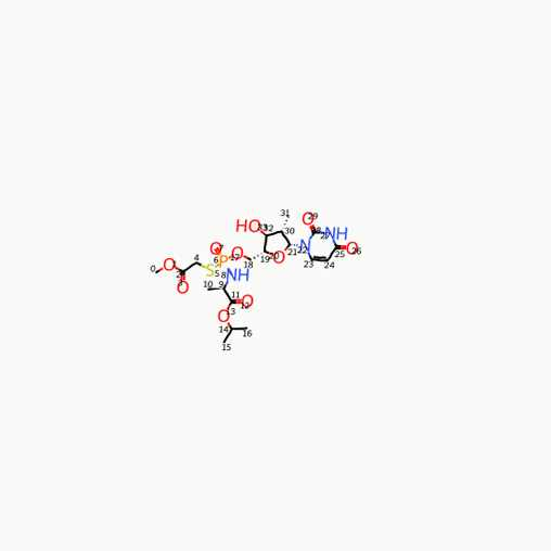 COC(=O)CSP(=O)(N[C@H](C)C(=O)OC(C)C)OC[C@H]1O[C@@H](n2ccc(=O)[nH]c2=O)[C@@H](C)[C@@H]1O